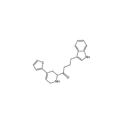 O=C(CCCc1c[nH]c2ccccc12)C1CC(c2cccs2)=CCN1